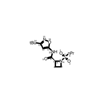 CCCS(=O)(=O)N1CC[C@H]1C(=O)Nc1cc(C(C)(C)C)no1